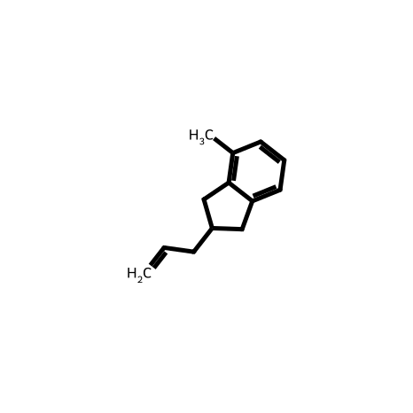 C=CCC1Cc2cccc(C)c2C1